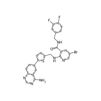 Nc1ncnc2ccc(-c3ccc(CNc4ncc(Br)cc4C(=O)NCc4ccc(F)c(F)c4)s3)cc12